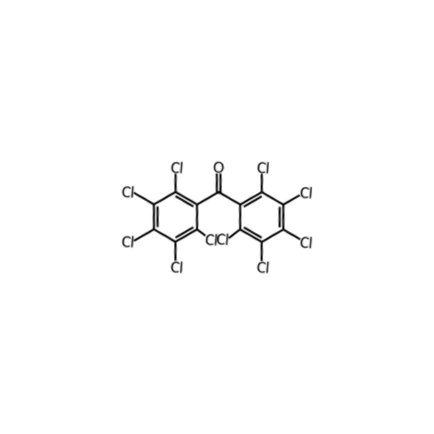 O=C(c1c(Cl)c(Cl)c(Cl)c(Cl)c1Cl)c1c(Cl)c(Cl)c(Cl)c(Cl)c1Cl